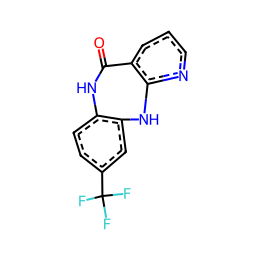 O=C1Nc2ccc(C(F)(F)F)cc2Nc2ncccc21